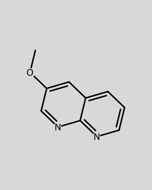 COc1cnc2ncccc2c1